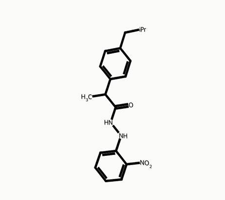 CC(C)Cc1ccc(C(C)C(=O)NNc2ccccc2[N+](=O)[O-])cc1